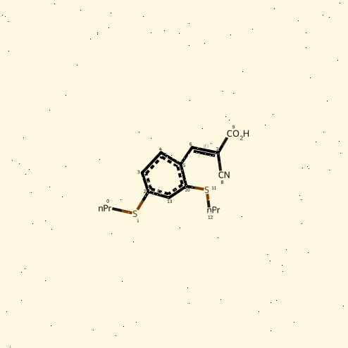 CCCSc1ccc(/C=C(\C#N)C(=O)O)c(SCCC)c1